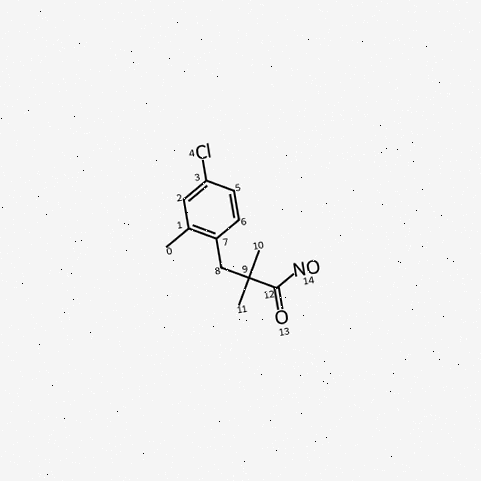 Cc1cc(Cl)ccc1CC(C)(C)C(=O)N=O